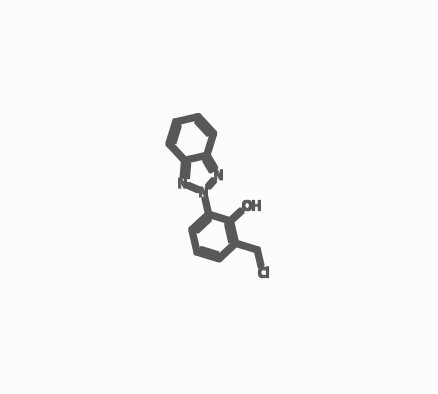 Oc1c(CCl)cccc1-n1nc2ccccc2n1